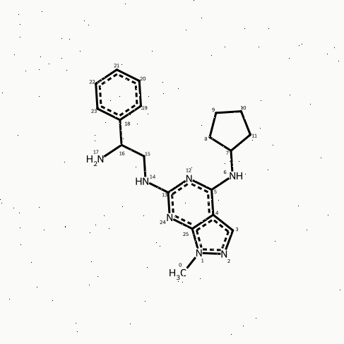 Cn1ncc2c(NC3CCCC3)nc(NCC(N)c3ccccc3)nc21